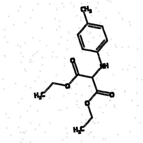 CCOC(=O)C(Nc1ccc(C)cc1)C(=O)OCC